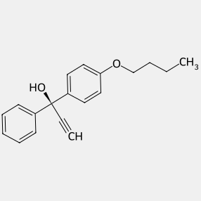 C#C[C@](O)(c1ccccc1)c1ccc(OCCCC)cc1